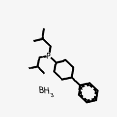 B.CC(C)CP(CC(C)C)C1CCC(c2ccccc2)CC1